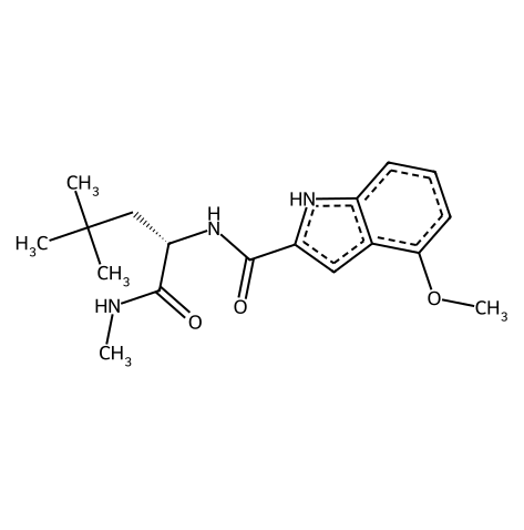 CNC(=O)[C@H](CC(C)(C)C)NC(=O)c1cc2c(OC)cccc2[nH]1